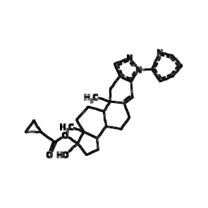 CC12Cc3cnn(-c4ccccn4)c3C=C1CCC1C2CCC2(C)C1CCC2(O)OC(=O)C1CC1